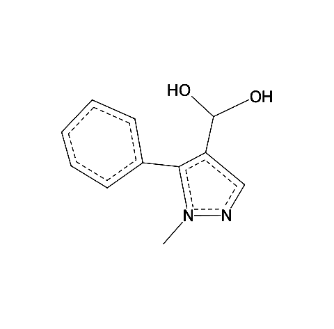 Cn1ncc(C(O)O)c1-c1ccccc1